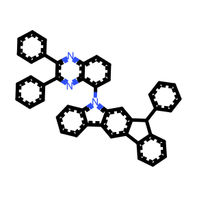 c1ccc(-c2nc3cccc(-n4c5ccccc5c5cc6c(cc54)C(c4ccccc4)c4ccccc4-6)c3nc2-c2ccccc2)cc1